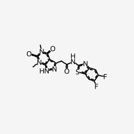 Cn1c(=O)c2c(CC(=O)Nc3nc4cc(F)c(F)cc4s3)n[nH]c2n(C)c1=O